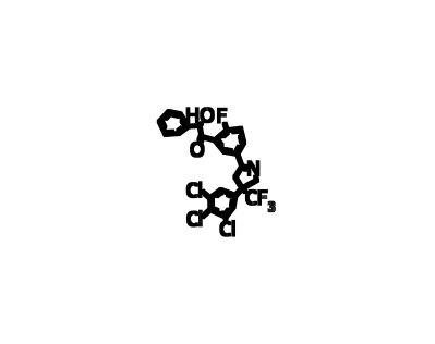 O=C(c1cc(C2=NCC(c3cc(Cl)c(Cl)c(Cl)c3)(C(F)(F)F)C2)ccc1F)C(O)c1ccccc1